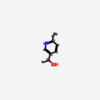 CC(C)c1ccc(C(C)O)cn1